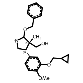 COc1ccc([C@@H]2C[N]C(OCc3ccccc3)[C@]2(C)CO)cc1OCC1CC1